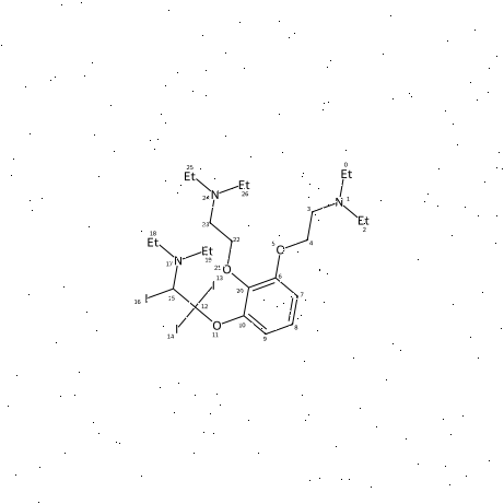 CCN(CC)CCOc1cccc(OC(I)(I)C(I)N(CC)CC)c1OCCN(CC)CC